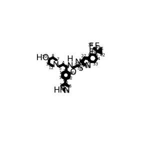 O=C(NC(CCN1CCC(O)CC1)c1ccc(-c2cn[nH]c2)cc1)c1nc2cc3c(nc2s1)CC[C@H](C1(C(F)(F)F)CC1)C3